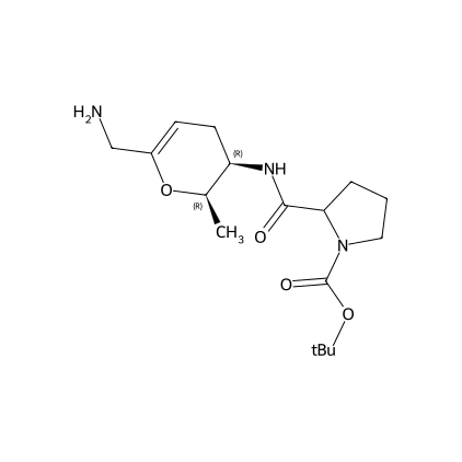 C[C@H]1OC(CN)=CC[C@H]1NC(=O)C1CCCN1C(=O)OC(C)(C)C